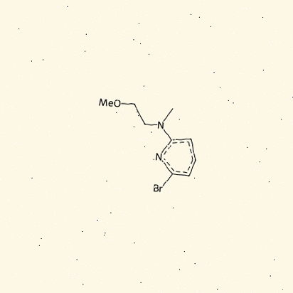 COCCN(C)c1cccc(Br)n1